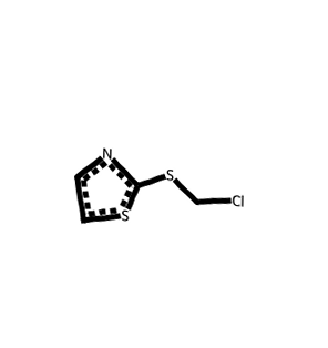 ClCSc1nccs1